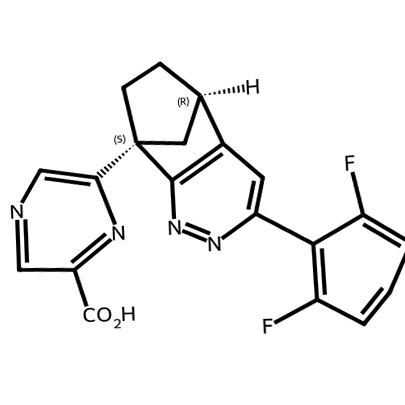 O=C(O)c1cncc([C@]23CC[C@H](C2)c2cc(-c4c(F)cccc4F)nnc23)n1